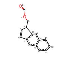 O=COCC1C=Cc2cc3ccccc3cc21